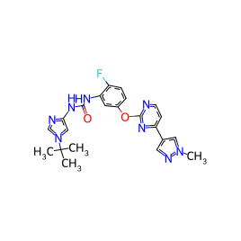 Cn1cc(-c2ccnc(Oc3ccc(F)c(NC(=O)Nc4cn(C(C)(C)C)cn4)c3)n2)cn1